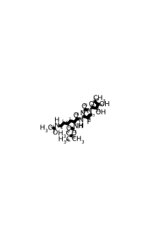 CC(=O)NCCCCC(NC(=O)OC(C)(C)C)C(=O)Nc1nc(=O)n([C@@H]2O[C@H](C)C(O)[C@@H]2O)cc1F